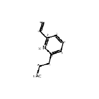 C=Cc1cccc(CCC(C)=O)n1